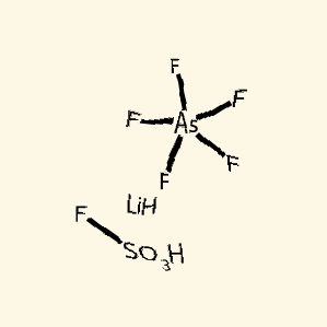 F[As](F)(F)(F)F.O=S(=O)(O)F.[LiH]